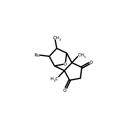 CC1[CH]([Ru])C2OC1C1(C)C(=O)CC(=O)C21C